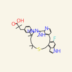 CN/C1=N\C(=N)[C@@](C)(c2cccc(CC(C)(C)C(=O)O)c2)CCC(C)(C)CSCCc2c(c(F)cc3[nH]ccc23)Cc2ccnc1c2